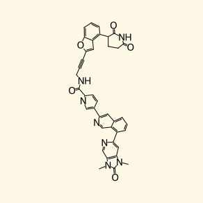 Cn1c(=O)n(C)c2cc(-c3cccc4cc(-c5ccc(C(=O)NCC#Cc6cc7c(C8CCC(=O)NC8=O)cccc7o6)nc5)ncc34)ncc21